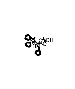 C[C@H](O[C@@H](C)[C@@H](CO[Si](c1ccccc1)(c1ccccc1)C(C)(C)C)NCc1ccccc1)C(=O)O